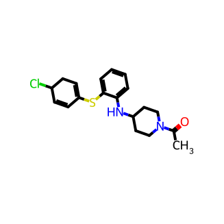 CC(=O)N1CCC(Nc2ccccc2SC2=CCC(Cl)C=C2)CC1